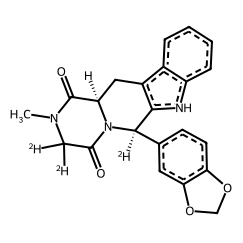 [2H]C1([2H])C(=O)N2[C@H](Cc3c([nH]c4ccccc34)[C@@]2([2H])c2ccc3c(c2)OCO3)C(=O)N1C